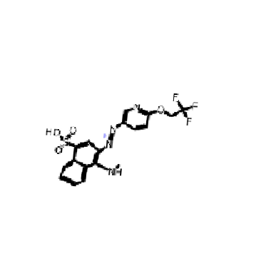 CNc1c(/N=N/c2ccc(OCC(F)(F)F)nc2)cc(S(=O)(=O)O)c2ccccc12